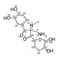 CN(C)C(CN)(C(=O)c1ccc(O)c(O)c1)C(=O)c1ccc(O)c(O)c1